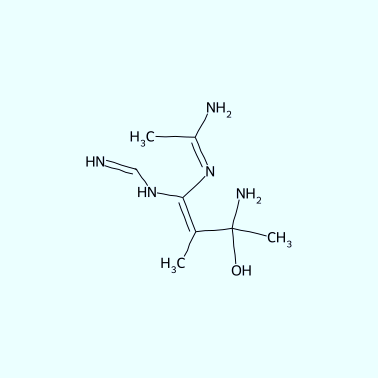 C/C(=C(/N=C(\C)N)NC=N)C(C)(N)O